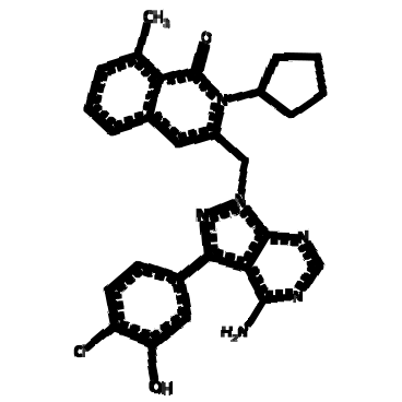 Cc1cccc2cc(Cn3nc(-c4ccc(Cl)c(O)c4)c4c(N)ncnc43)n(C3CCCC3)c(=O)c12